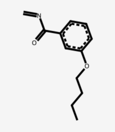 C=NC(=O)c1cccc(OCCCC)c1